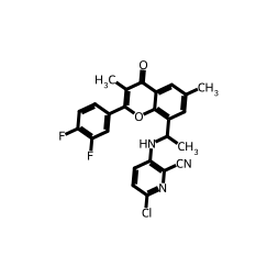 Cc1cc(C(C)Nc2ccc(Cl)nc2C#N)c2oc(-c3ccc(F)c(F)c3)c(C)c(=O)c2c1